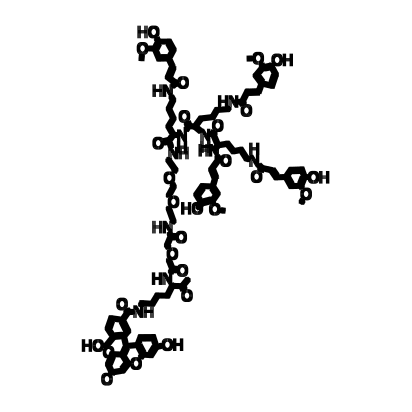 COc1cc(/C=C/C(=O)NCCCCC(NC(=O)/C=C/c2ccc(O)c(OC)c2)C(=O)NC(CCCCNC(=O)/C=C/c2ccc(O)c(OC)c2)C(=O)NC(CCCCNC(=O)/C=C/c2ccc(O)c(OC)c2)C(=O)NCCOCCOCCNC(=O)COCC(=O)NC(CCCCNC(=O)c2ccc(C(=O)O)c(-c3c4ccc(=O)cc-4oc4cc(O)ccc34)c2)C(C)=O)ccc1O